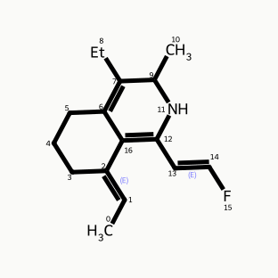 C/C=C1\CCCC2=C(CC)C(C)NC(/C=C/F)=C21